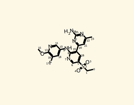 CCS(=O)(=O)c1cnc(Nc2cnc(OC)c(F)c2)c(-c2cc(C)nc(N)n2)c1